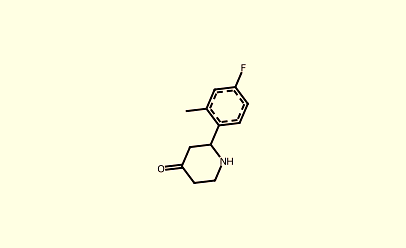 Cc1cc(F)ccc1C1CC(=O)CCN1